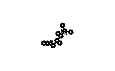 CC1(C)c2cc3ccccc3cc2-c2cccc(-c3ccc(-c4ccc(-c5nc(-c6ccccc6)cc(-c6ccccc6)n5)c5ccccc45)c4ccccc34)c21